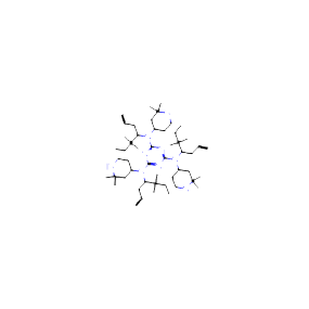 C=CCC(N(c1nc(N(C2CCNC(C)(C)C2)C(CC=C)C(C)(C)CC)nc(N(C2CCNC(C)(C)C2)C(CC=C)C(C)(C)CC)n1)C1CCNC(C)(C)C1)C(C)(C)CC